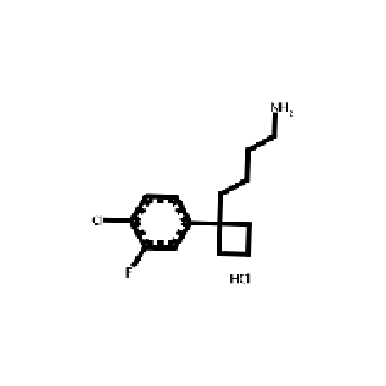 Cl.NCCCCC1(c2ccc(Cl)c(F)c2)CCC1